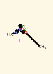 CCCCCCCCCCCCCCCCOc1ccc(CN(Cc2cc[n+](CCC)cc2)C(=O)c2ccccc2Cl)cc1Cl.[I-]